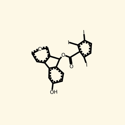 O=C(OC1c2ccccc2-c2cc(O)ccc21)c1c(I)ccc(I)c1I